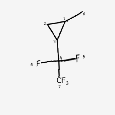 C[C]1CC1C(F)(F)C(F)(F)F